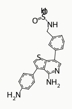 Nc1ccc(-c2csc3c(-c4cccc(CN[SH](=O)=O)c4)cnc(N)c23)cc1